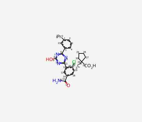 CC(C)c1cccc(-c2nc(O)nc(-c3cc(C(N)=O)ccc3Cl)n2)c1.O=C(O)C1(C(F)(F)F)CCCC1